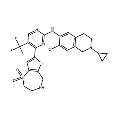 O=S1(=O)CCNCc2sc(-c3nc(Nc4cc5c(cc4Cl)CN(C4CC4)CC5)ncc3C(F)(F)F)cc21